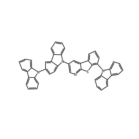 c1cc(-n2c3ccccc3c3ccccc32)c2sc3ncc(-n4c5ccccc5c5cc(-n6c7ccccc7c7ccccc76)ccc54)cc3c2c1